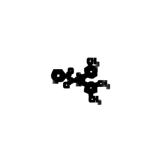 Cc1cc(C)cc(-c2nc(N(Cl)C(=O)c3cccnc3)sc2-c2ccnc(C)c2)c1